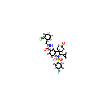 O=C1CCC2(CC1)c1cc(C(=O)NCc3ccccc3Cl)ccc1N(S(=O)(=O)c1ccc(F)cc1)C2C1CC1